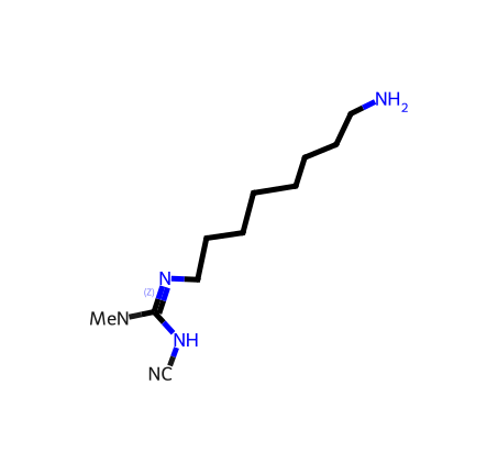 CN/C(=N/CCCCCCCCN)NC#N